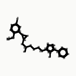 CCOc1ccc(F)cc1C1CC1CN(C)CCCSc1nnc(-c2ccccc2)n1C